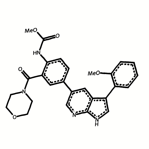 COC(=O)Nc1ccc(-c2cnc3[nH]cc(-c4ccccc4OC)c3c2)cc1C(=O)N1CCOCC1